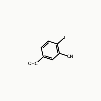 N#Cc1cc(C=O)ccc1I